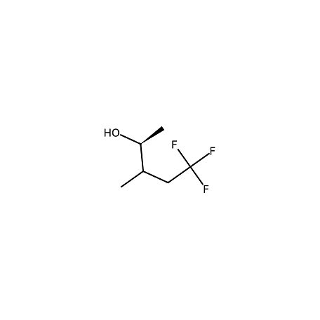 CC(CC(F)(F)F)[C@H](C)O